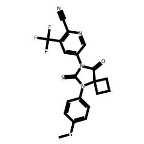 CSc1ccc(N2C(=S)N(c3cnc(C#N)c(C(F)(F)F)c3)C(=O)C23CCC3)cc1